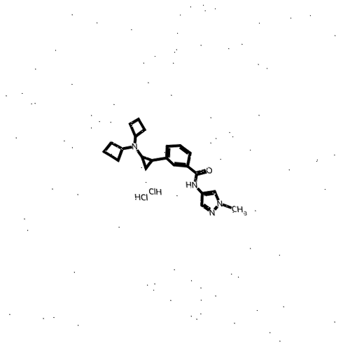 Cl.Cl.Cn1cc(NC(=O)c2cccc(C3CC3N(C3CCC3)C3CCC3)c2)cn1